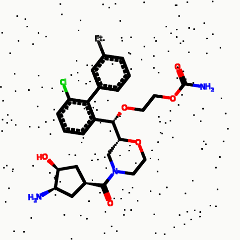 CCc1cccc(-c2c(Cl)cccc2[C@H](OCCOC(N)=O)[C@H]2CN(C(=O)[C@H]3C[C@@H](N)[C@@H](O)C3)CCO2)c1